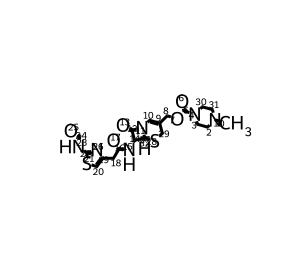 CN1CCN(C(=O)OCC2=CN3C(=O)C(NC(=O)Cc4csc(NC=O)n4)[C@H]3SC2)CC1